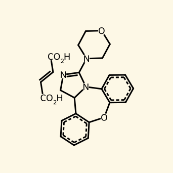 O=C(O)C=CC(=O)O.c1ccc2c(c1)Oc1ccccc1N1C(N3CCOCC3)=NCC21